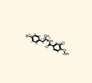 CCCOc1ccc(C(=O)N[C@H](C)Cc2ccc(Br)cc2)cc1Cl